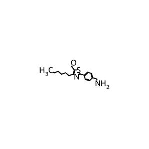 CCCCCCc1nc(-c2ccc(CN)cc2)sc1C=O